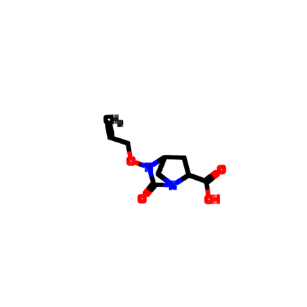 C=CCON1C(=O)N2CC1CC2C(=O)O